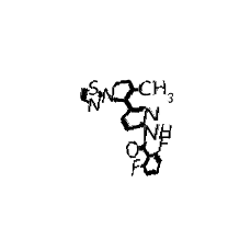 CC1=C(c2ccc(NC(=O)c3c(F)cccc3F)nc2)CN(c2nccs2)CC1